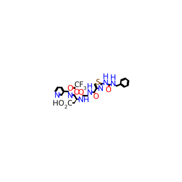 O=C(O)C[C@H](NC(=O)CNC(=O)c1csc(NC(=O)NCc2ccccc2)n1)C(=NCc1cccnc1)OC(=O)C(F)(F)F